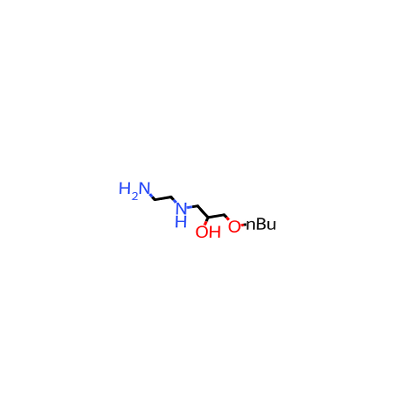 CCCCOCC(O)CNCCN